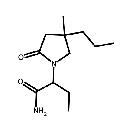 CCCC1(C)CC(=O)N(C(CC)C(N)=O)C1